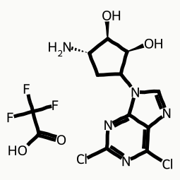 N[C@H]1CC(n2cnc3c(Cl)nc(Cl)nc32)[C@H](O)[C@@H]1O.O=C(O)C(F)(F)F